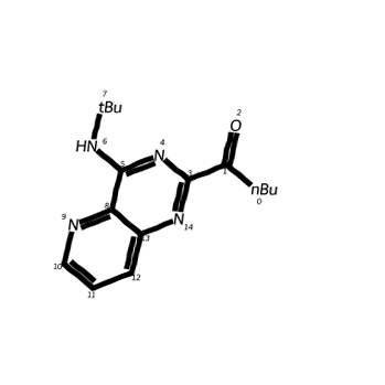 CCCCC(=O)c1nc(NC(C)(C)C)c2ncccc2n1